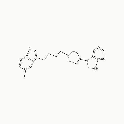 Fc1ccc2[nH]cc(CCCCN3CCN(N4CNc5ncccc54)CC3)c2c1